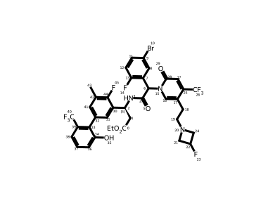 CCOC(=O)C[C@H](NC(=O)C(c1cc(Br)ccc1F)n1cc(CCN2CC(F)C2)c(C(F)(F)F)cc1=O)c1cc(-c2c(O)cccc2C(F)(F)F)cc(C)c1F